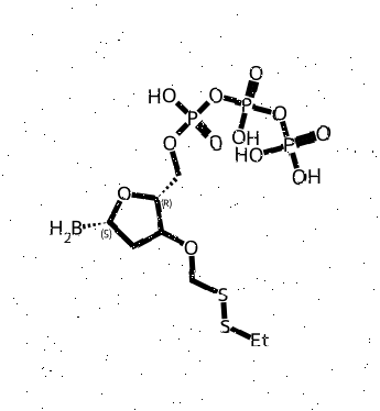 B[C@H]1CC(OCSSCC)[C@@H](COP(=O)(O)OP(=O)(O)OP(=O)(O)O)O1